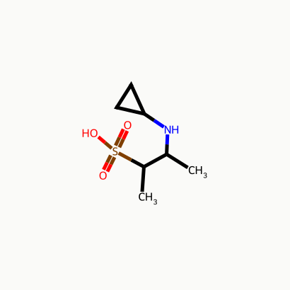 CC(NC1CC1)C(C)S(=O)(=O)O